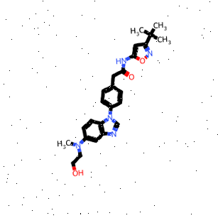 CN(CCO)c1ccc2c(c1)ncn2-c1ccc(CC(=O)Nc2cc(C(C)(C)C)no2)cc1